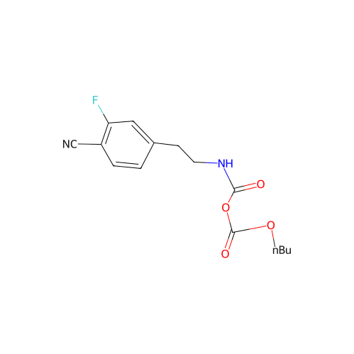 CCCCOC(=O)OC(=O)NCCc1ccc(C#N)c(F)c1